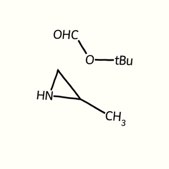 CC(C)(C)OC=O.CC1CN1